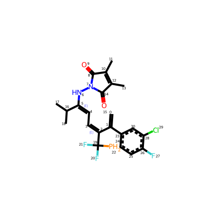 C=C(/C(=C\C=C(\NN1C(=O)C(C)=C(C)C1=O)C(C)C)C(F)(F)P)c1ccc(F)c(Cl)c1